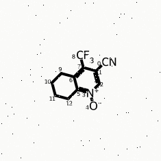 N#Cc1c[n+]([O-])c2c(c1C(F)(F)F)CCCC2